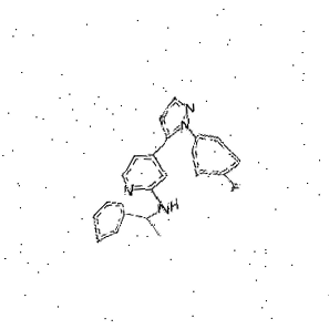 CC(Nc1cc(-c2ccnn2-c2ccc(F)cc2)ccn1)c1ccccc1